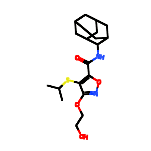 CC(C)Sc1c(OCCO)noc1C(=O)NC1C2CC3CC(C2)CC1C3